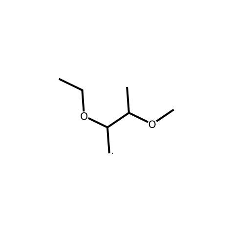 [CH2]C(OCC)C(C)OC